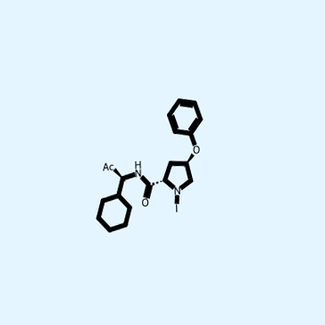 CC(=O)[C@@H](NC(=O)[C@@H]1C[C@@H](Oc2ccccc2)CN1I)C1CCCCC1